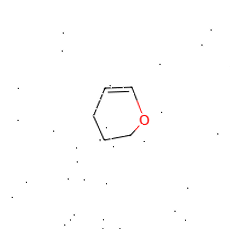 [CH]1CC=COC1